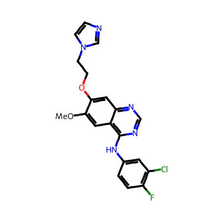 COc1cc2c(Nc3ccc(F)c(Cl)c3)ncnc2cc1OCCn1ccnc1